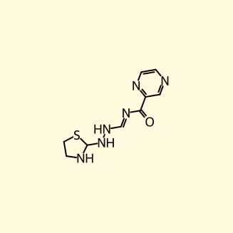 O=C(N=CNNC1NCCS1)c1cnccn1